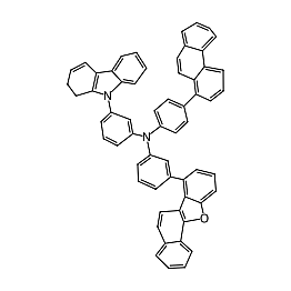 C1=Cc2c(n(-c3cccc(N(c4ccc(-c5cccc6c5ccc5ccccc56)cc4)c4cccc(-c5cccc6oc7c8ccccc8ccc7c56)c4)c3)c3ccccc23)CC1